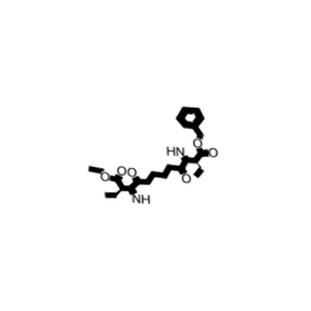 CCOC(=O)[C@H](CC)C(=N)C(=O)CCCCC(=O)C(=N)[C@@H](CC)C(=O)OCc1ccccc1